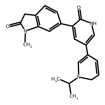 CC(C)N1C=C(c2c[nH]c(=O)c(-c3ccc4c(c3)N(C)C(=O)C4)c2)C=CC1